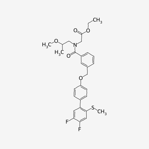 CCOC(=O)CN(CC(C)OC)C(=O)c1cccc(COc2ccc(-c3cc(F)c(F)cc3SC)cc2)c1